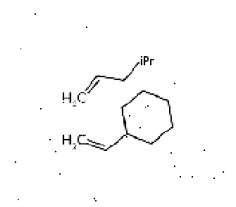 C=CCC(C)C.C=C[C]1CCCCC1